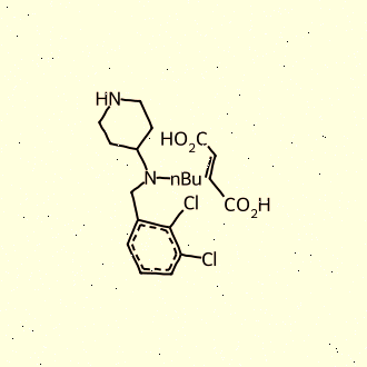 CCCCN(Cc1cccc(Cl)c1Cl)C1CCNCC1.O=C(O)/C=C/C(=O)O